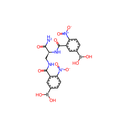 NC(=O)[C@H](CNC(=O)c1cc(B(O)O)ccc1[N+](=O)[O-])NC(=O)c1cc(B(O)O)ccc1[N+](=O)[O-]